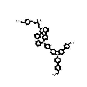 C=CC1=CCC(C2=CCC(N3c4ccc(C5=CCC(C(C)(C)C)C=C5)cc4C4CC(C5C=CC(N(C6=CCC7C(=C6)C(CC(C)CCC(C)COC6CC=C(C=C)CC6)(c6ccccc6)c6ccccc67)c6ccccc6)=CC5)C=CC43)C=C2)C=C1